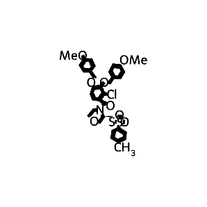 COc1ccc(COc2ccc(C(=O)N3CCOC[C@H]3CSS(=O)(=O)c3ccc(C)cc3)c(Cl)c2OCc2ccc(OC)cc2)cc1